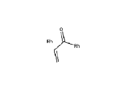 C=C[C](=O)[Rh].[Rh]